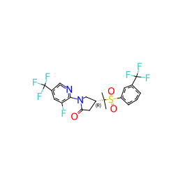 CC(C)([C@@H]1CC(=O)N(c2ncc(C(F)(F)F)cc2F)C1)S(=O)(=O)c1cccc(C(F)(F)F)c1